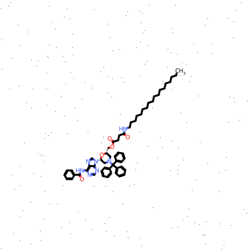 CCCCCCCCCCCCCCCCCCNC(=O)CCC(=O)OC[C@@H]1CN(C(c2ccccc2)(c2ccccc2)c2ccccc2)C[C@H](n2cnc3c(NC(=O)c4ccccc4)ncnc32)O1